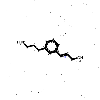 NCCCc1cccc(/C=C/CO)c1